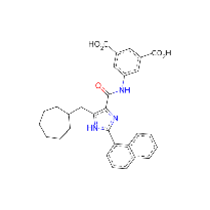 O=C(O)c1cc(NC(=O)c2nc(-c3cccc4ccccc34)[nH]c2CC2CCCCCC2)cc(C(=O)O)c1